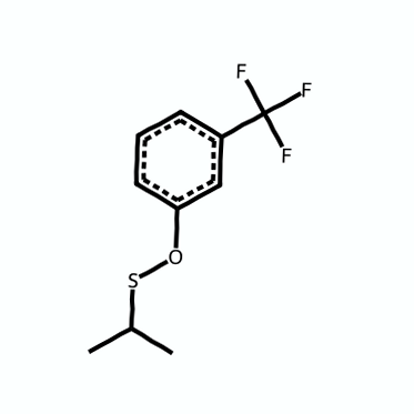 CC(C)SOc1cccc(C(F)(F)F)c1